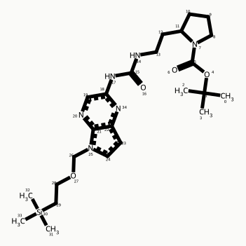 CC(C)(C)OC(=O)N1CCCC1CCNC(=O)Nc1cnc2c(ccn2COCC[Si](C)(C)C)n1